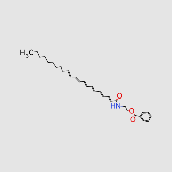 CCCCCCCCCC=CC=CC=CC=CC=CC=CC(=O)NCCOC(=O)c1ccccc1